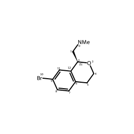 CNC[C@H]1OCCc2ccc(Br)cc21